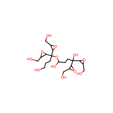 OCCCC(OC(O)CCC(O)(C1OC1CO)C1OC1CO)(C1OC1CO)C1OC1CO